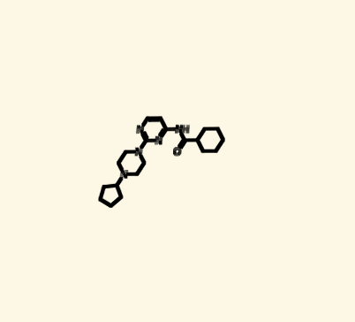 O=C(Nc1ccnc(N2CCN(C3CCCC3)CC2)n1)C1CCCCC1